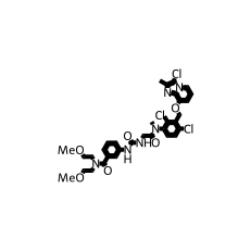 COCCN(CCOC)C(=O)c1cccc(NC(=O)NCC(=O)N(C)c2ccc(Cl)c(COc3cccn4c(Cl)c(C)nc34)c2Cl)c1